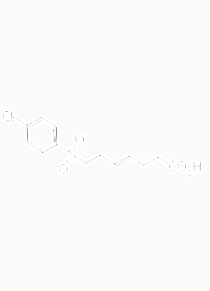 O=C(O)CC/C=C/CCS(=O)(=O)c1ccc(Cl)cc1